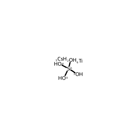 O[Si](O)(O)O.[CsH].[Ti]